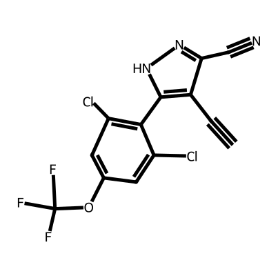 C#Cc1c(C#N)n[nH]c1-c1c(Cl)cc(OC(F)(F)F)cc1Cl